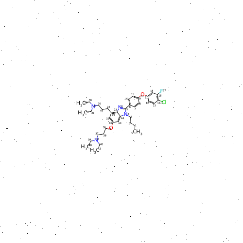 CCCCn1c(-c2ccc(Oc3ccc(Cl)c(F)c3)cc2)nc2c(CCCN(CC)CC)cc(OCCCN(CC)CC)cc21